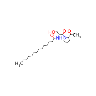 CCCCCCCCCCCCCC(=O)N[C@@H](CO)C(=O)N1CCCC1C(C)=O